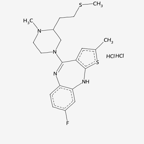 CSCCC1CN(C2=Nc3ccc(F)cc3Nc3sc(C)cc32)CCN1C.Cl.Cl